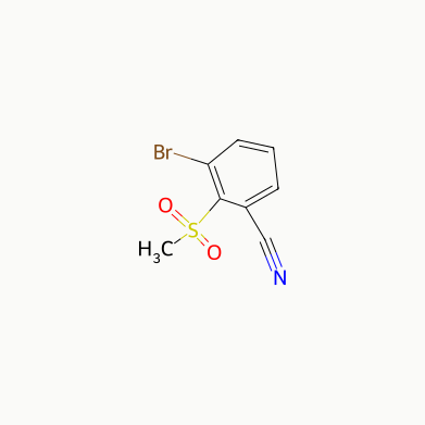 CS(=O)(=O)c1c(Br)cccc1C#N